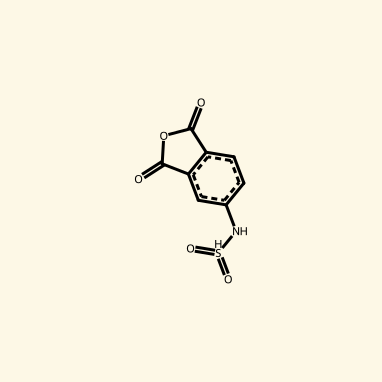 O=C1OC(=O)c2cc(N[SH](=O)=O)ccc21